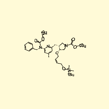 Cc1cc(C[C@@H]2CN(C(=O)OC(C)(C)C)C[C@@H]2OC/C=C\CO[Si](C)(C)C(C)(C)C)nc(N(Cc2ccccc2)C(=O)OC(C)(C)C)c1